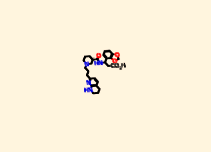 O=C(O)CC(NC(=O)[C@@H]1CCCN(CCCc2ccc3c(n2)NCCC3)C1)c1cccc2c1OCO2